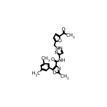 CC(=O)c1ccc(Cn2ncc(NC(=O)c3nc(C)oc3-c3cc(C)cc(C)c3)n2)o1